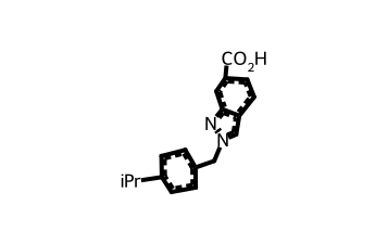 CC(C)c1ccc(Cn2cc3ccc(C(=O)O)cc3n2)cc1